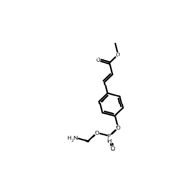 COC(=O)C=Cc1ccc(O[PH](=O)OCN)cc1